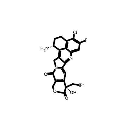 CC(C)C[C@@]1(O)C(=O)OCc2c1cc1n(c2=O)Cc2c-1nc1cc(F)c(Cl)c3c1c2[C@H](N)CC3